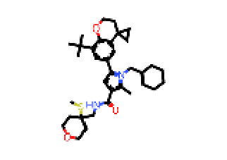 CSC1(CNC(=O)c2cc(-c3cc(C(C)(C)C)c4c(c3)C3(CCO4)CC3)n(CC3CCCCC3)c2C)CCOCC1